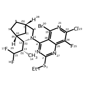 CCSc1nc(N2C[C@H]3CC[C@H](C3)[C@H]2[C@H](C)C(F)F)c2c(Br)nc(Cl)c(F)c2n1